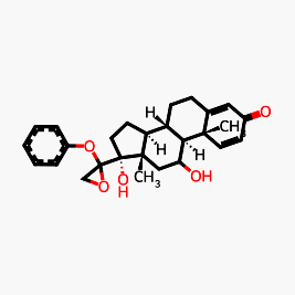 C[C@]12C=CC(=O)C=C1CC[C@@H]1[C@@H]2C(O)C[C@@]2(C)[C@H]1CC[C@]2(O)C1(Oc2ccccc2)CO1